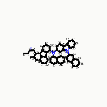 C=C/C=C\c1c(C)cc2cccc3c2c1-c1cccc(N(c2ccc4c5ccccc5n(-c5ccc6ccccc6c5)c4c2)c2cccc4ccccc24)c1-3